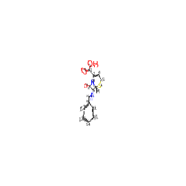 O=C(O)C1=CCS[C@@H]2C(/N=C/c3ccccc3)C(=O)N12